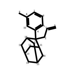 C=CCC1(c2cccc(C)c2)C2CC3CC(C2)CC1C3